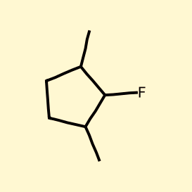 CC1CCC(C)C1F